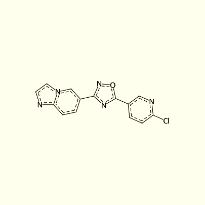 Clc1ccc(-c2nc(-c3ccc4nccn4c3)no2)cn1